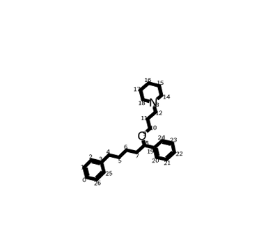 c1ccc(CCCCC(OCCCN2CCCCC2)c2ccccc2)cc1